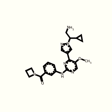 COc1cnc(Nc2cccc(C(=O)N3CCC3)c2)nc1-c1cnn(C(CN)C2CC2)c1